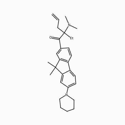 C=CCC(CC)(C(=O)c1ccc2c(c1)C(C)(C)c1cc(N3CCCCC3)ccc1-2)N(C)C